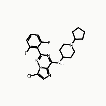 Fc1cccc(F)c1-c1nc(NC2CCN(C3CCCC3)CC2)c2ncc(Cl)n2n1